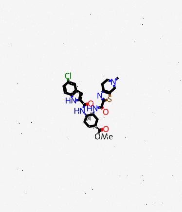 COC(=O)[C@H]1CC[C@@H](NC(=O)c2cc3cc(Cl)ccc3[nH]2)[C@@H](NC(=O)c2nc3c(s2)CN(C)CC3)C1